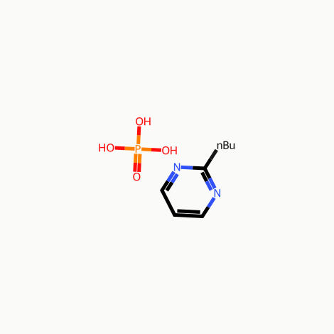 CCCCc1ncccn1.O=P(O)(O)O